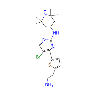 CC1(C)CC(Nc2ncc(Br)c(-c3ccc(CCN)s3)n2)CC(C)(C)N1